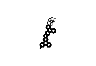 Cc1ccc2c(c1)c1ccccc1c1cc3c(cc21)Cc1cc2c4ccc(OS(=O)(=O)C(F)(F)F)cc4c4ccccc4c2cc1-3